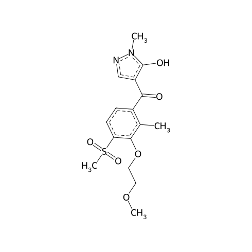 COCCOc1c(S(C)(=O)=O)ccc(C(=O)c2cnn(C)c2O)c1C